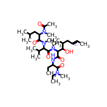 C/C=C/CC(C)C(O)C(C(=O)NC(CC)C(=O)N(C)CC)N(C)C(=O)C(C(C)C)N(C)C(=O)C(CC(C)C)N(C)C(C)=O